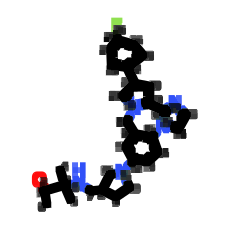 CC(=O)C(C)(C)NCC1CCN(c2ccc3c(c2)Cn2cc(-c4ccc(F)cc4)cc2-c2nccn2-3)C1